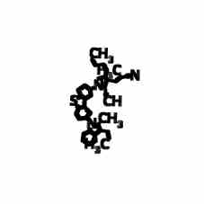 C#Cc1c(/C=C(\C)C#N)c(/C=C\C=C/C)cn1-c1ccc2sc3ccc(-n4c(C)c(/C=C\C)c5ccccc54)cc3c2c1